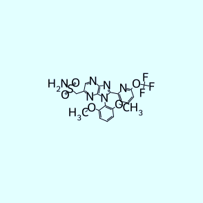 COc1cccc(OC)c1-n1c(-c2cccc(OC(F)(F)F)n2)nc2ncc(CS(N)(=O)=O)nc21